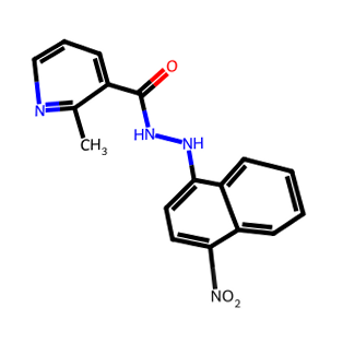 Cc1ncccc1C(=O)NNc1ccc([N+](=O)[O-])c2ccccc12